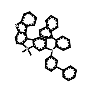 C[Si]1(C)c2cc(N(c3cccc(-c4ccccc4)c3)c3ccccc3-c3cccc4ccccc34)ccc2-c2c1ccc1sc3ccccc3c21